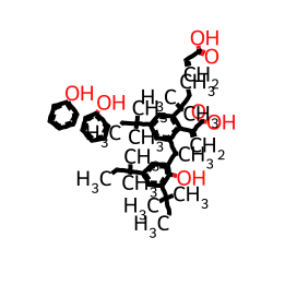 C=C(C(=O)O)c1c(C(C)c2cc(C(C)(C)CC)cc(C(C)(C)CC)c2O)cc(C(C)(C)CC)cc1C(C)(C)CC.C=CC(=O)O.Oc1ccccc1.Oc1ccccc1